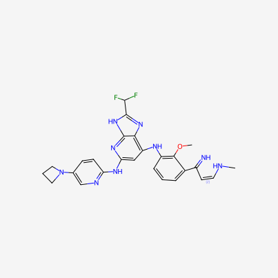 CN/C=C\C(=N)c1cccc(Nc2cc(Nc3ccc(N4CCC4)cn3)nc3[nH]c(C(F)F)nc23)c1OC